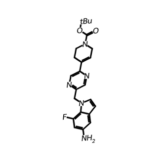 CC(C)(C)OC(=O)N1CC=C(c2cnc(Cn3ccc4cc(N)cc(F)c43)cn2)CC1